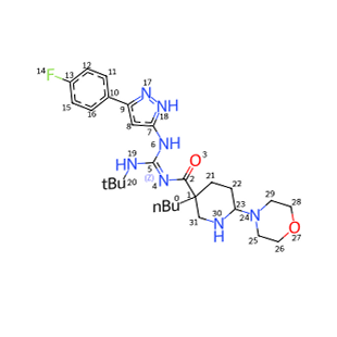 CCCCC1(C(=O)/N=C(\Nc2cc(-c3ccc(F)cc3)n[nH]2)NC(C)(C)C)CCC(N2CCOCC2)NC1